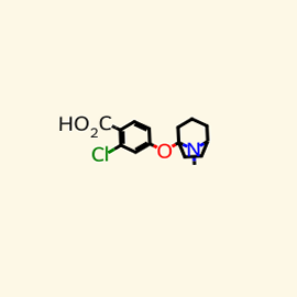 CN1C2CCCC1(Oc1ccc(C(=O)O)c(Cl)c1)CC2